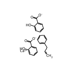 C=CCc1ccccc1.O=C([O-])c1ccccc1O.O=C([O-])c1ccccc1O.[Ca+2]